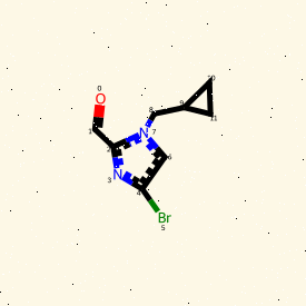 O=Cc1nc(Br)cn1CC1CC1